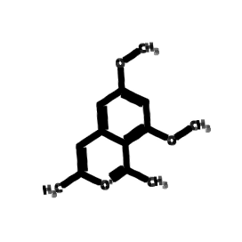 COc1cc(OC)c2c(C)[o+]c(C)cc2c1